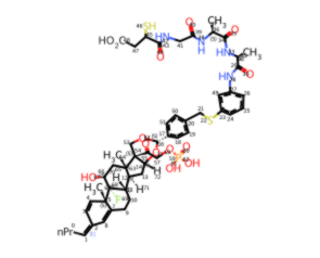 CCC/C=C1\C=C[C@@]2(C)C(=C1)CC[C@H]1[C@@H]3C[C@H]4O[C@@H](c5ccc(CSc6cccc(NC(=O)[C@H](C)NC(=O)[C@H](C)NC(=O)CNC(=O)C(S)CC(=O)O)c6)cc5)OC[C@@]4(C(=O)COP(=O)(O)O)[C@@]3(C)C[C@H](O)[C@@]12F